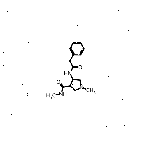 CNC(=O)C1CN(C)CC1NC(=O)Cc1ccccc1